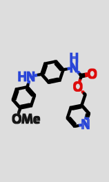 COc1ccc(Nc2ccc(NC(=O)OCc3cccnc3)cc2)cc1